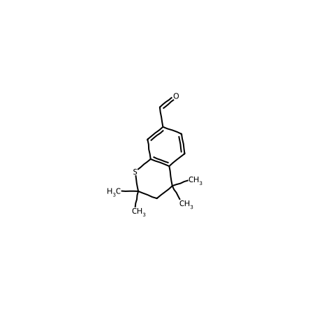 CC1(C)CC(C)(C)c2ccc(C=O)cc2S1